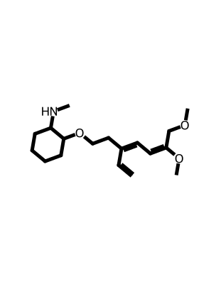 C=C/C(=C\C=C(/COC)OC)CCOC1CCCCC1NC